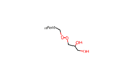 CCCCCCOOCC(O)CO